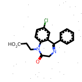 O=C(O)CCN1C(=O)CN=C(c2ccccc2)c2cc(Cl)ccc21